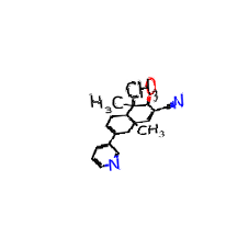 CC12C=C(C#N)C(=O)C(C)(C)C1CC=C(c1cccnc1)C2